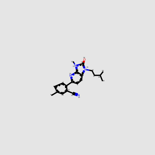 Cc1ccc(-c2ccc3c(n2)n(C)c(=O)n3CCC(C)C)c(C#N)c1